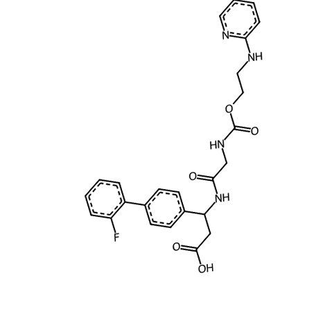 O=C(O)CC(NC(=O)CNC(=O)OCCNc1ccccn1)c1ccc(-c2ccccc2F)cc1